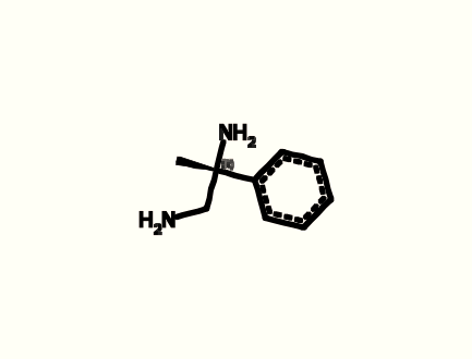 C[C@](N)(CN)c1ccccc1